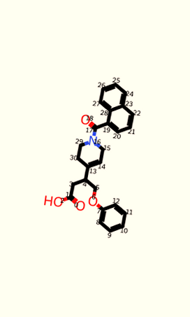 O=C(O)CC(COc1ccccc1)C1=CCN(C(=O)c2cccc3ccccc23)CC1